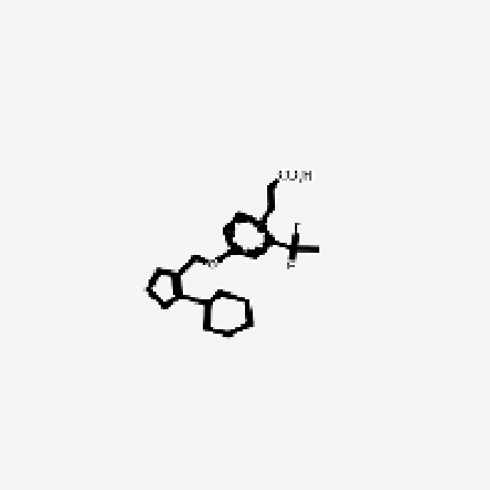 CC(F)(F)c1cc(OCC2=C(C3CCCCC3)CCC2)ccc1CCC(=O)O